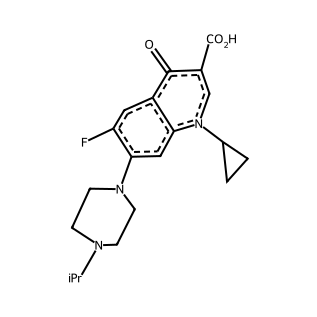 CC(C)N1CCN(c2cc3c(cc2F)c(=O)c(C(=O)O)cn3C2CC2)CC1